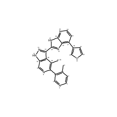 Cc1ccncc1-c1ncc2[nH]nc(-c3nc4c(-c5ccoc5)ccnc4[nH]3)c2c1F